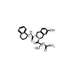 CC(C)(C)[C@H](OC(N)=O)C(=O)N1Cc2cc(O)ccc2C[C@H]1C(=O)N[C@@H]1CCCc2ccccc21